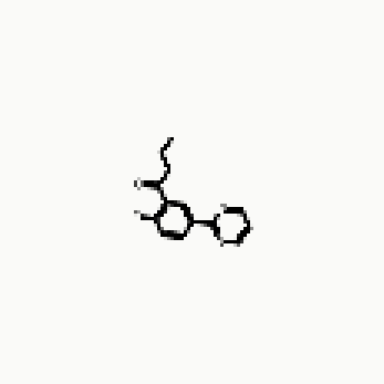 CCCC(=O)c1cc(-c2ncccn2)ccc1F